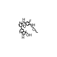 CCCOCCNc1cc(OC)c(Nc2nccc(-c3cnc4c(c3)C(C)(CO)CN4)n2)cc1F